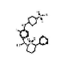 CC(c1ccc(NC2CCN(S(C)(=O)=O)CC2)c(F)c1)N1CCCC(c2ccccc2)S1(=O)=O